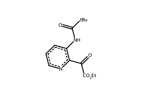 CCOC(=O)C(=O)c1ncccc1NC(=O)C(C)(C)C